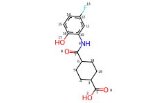 O=C(O)C1CCC(C(=O)Nc2cc(F)ccc2O)CC1